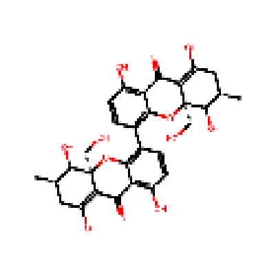 C[C@@H]1CC(O)=C2C(=O)c3c(O)ccc(-c4ccc(O)c5c4O[C@@]4(CO)C(=C(O)C[C@@H](C)[C@H]4O)C5=O)c3O[C@]2(CO)[C@@H]1O